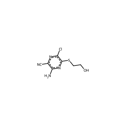 N#Cc1nc(Cl)c(SCCO)nc1N